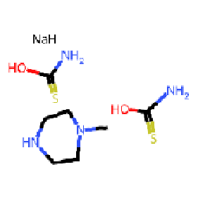 CN1CCNCC1.NC(O)=S.NC(O)=S.[NaH]